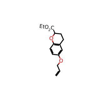 C=CCOc1ccc2c(c1)CCC(C(=O)OCC)O2